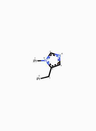 CC(C)Cc1cncn1C(C)C